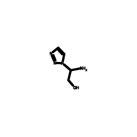 NC(CO)n1ccnn1